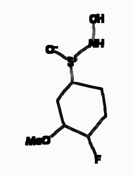 COC1CC([S+]([O-])NO)CCC1F